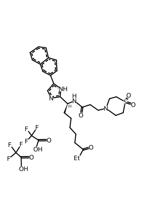 CCC(=O)CCCCC[C@H](NC(=O)CCN1CCS(=O)(=O)CC1)c1ncc(-c2ccc3ccccc3c2)[nH]1.O=C(O)C(F)(F)F.O=C(O)C(F)(F)F